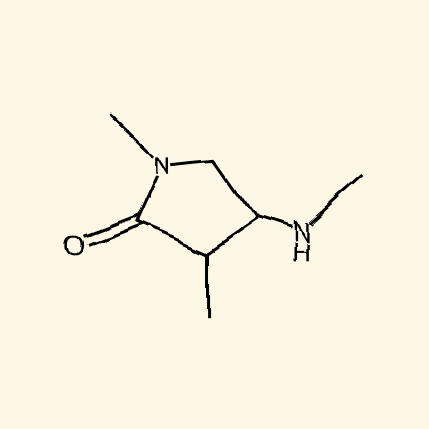 CNC1CN(C)C(=O)C1C